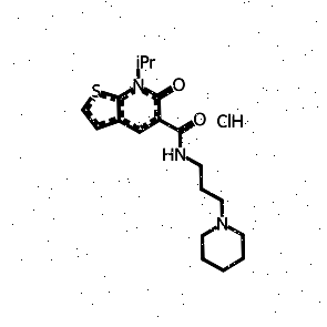 CC(C)n1c(=O)c(C(=O)NCCCN2CCCCC2)cc2ccsc21.Cl